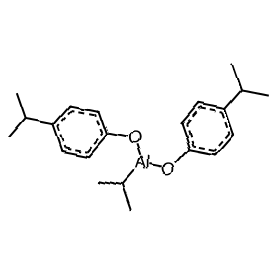 CC(C)c1ccc([O][Al]([O]c2ccc(C(C)C)cc2)[CH](C)C)cc1